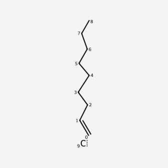 C=CCCCCCCC.[C]